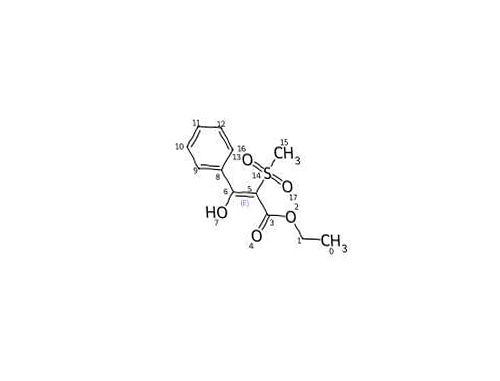 CCOC(=O)/C(=C(\O)c1ccccc1)S(C)(=O)=O